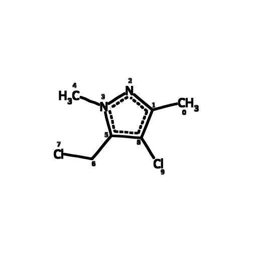 Cc1nn(C)c(CCl)c1Cl